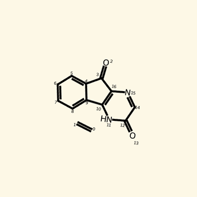 C=C.O=C1c2ccccc2-c2[nH]c(=O)cnc21